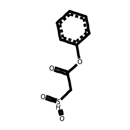 O=C(C[SH](=O)=O)Oc1ccccc1